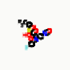 O=c1oc2c(c(O)c1Sc1cccc(C(F)(F)F)c1)c(=O)n(Cc1ccc(F)cc1)c1ccc(N3CCOCC3)cc21